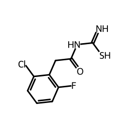 N=C(S)NC(=O)Cc1c(F)cccc1Cl